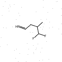 CC(CC=N)C(F)F